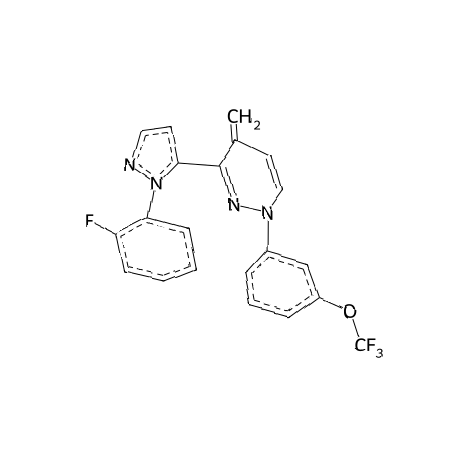 C=C1C=CN(c2cccc(OC(F)(F)F)c2)N=C1c1ccnn1-c1ccccc1F